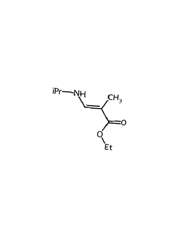 CCOC(=O)C(C)=CNC(C)C